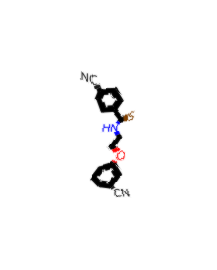 N#Cc1ccc(C(=S)NCCOc2cccc(C#N)c2)cc1